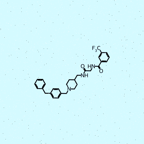 O=C(CNC(=O)c1cccc(C(F)(F)F)c1)NCC1CCN(Cc2ccc(Cc3ccccc3)cc2)CC1